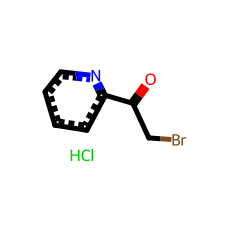 Cl.O=C(CBr)c1ccccn1